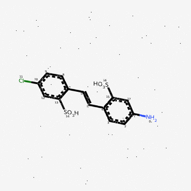 Nc1ccc(C=Cc2ccc(Cl)cc2S(=O)(=O)O)c(S(=O)(=O)O)c1